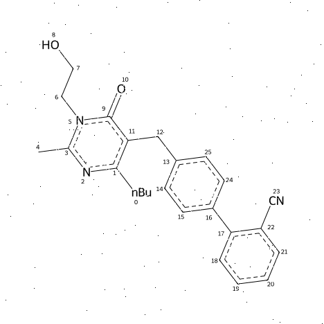 CCCCc1nc(C)n(CCO)c(=O)c1Cc1ccc(-c2ccccc2C#N)cc1